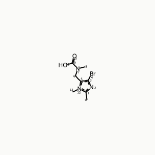 Cc1nc(Br)c(CN(C)C(=O)O)n1C